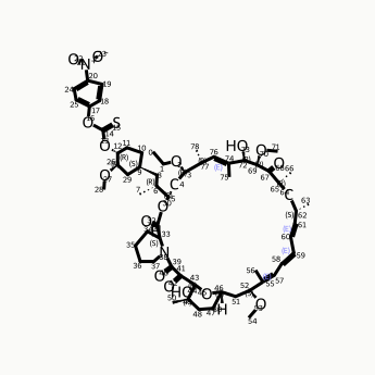 CCO[C@@H]1C[C@@H]([C@H](C)C[C@@H]2CC[C@@H](OC(=S)Oc3ccc([N+](=O)[O-])cc3)[C@H](OC)C2)OC(=O)[C@@H]2CCCCN2C(=O)C(=O)[C@]2(O)O[C@@H](CC[C@H]2C)C[C@H](OC)/C(C)=C/C=C/C=C/[C@@H](C)C[C@@H](C)C(=O)[C@H](OC)[C@H](O)/C(C)=C/[C@H]1C